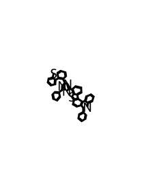 c1ccc(-c2nc(-c3cccc4c3sc3ccc5c(-c6ccccc6)nc6ccccc6c5c34)nc(-c3cccc4sc5ccccc5c34)n2)cc1